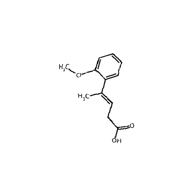 COc1ccccc1C(C)=CCC(=O)O